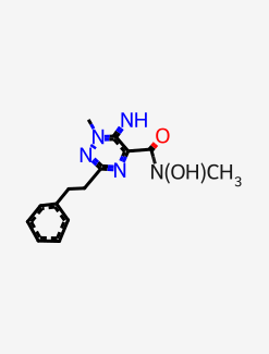 CN(O)C(=O)c1nc(CCc2ccccc2)nn(C)c1=N